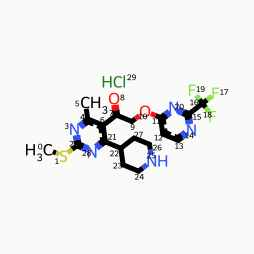 CSc1nc(C)c(C(=O)COc2ccnc(C(F)(F)F)n2)c(C2CCNCC2)n1.Cl